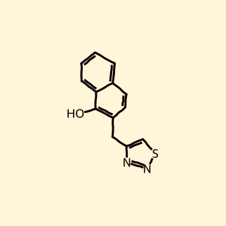 Oc1c(Cc2csnn2)ccc2ccccc12